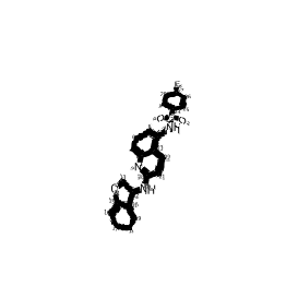 O=S(=O)(Nc1cccc2nc(NC3COc4ccccc43)ccc12)c1ccc(F)cc1